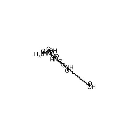 CC(=O)CC[C@H](NC(=O)COCC(=O)NCCOCCOCCNC(=O)CCCCCCCCCCCCCCCCC(=O)O)C(=O)O